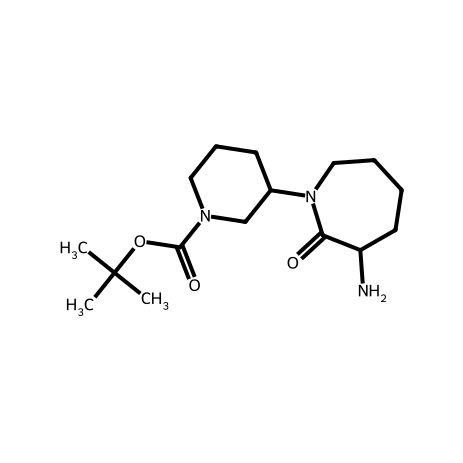 CC(C)(C)OC(=O)N1CCCC(N2CCCCC(N)C2=O)C1